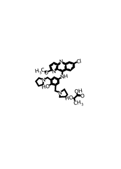 CC(O)C(=O)O.COc1ccc2nc3cc(Cl)ccc3c(Nc3cc(CN4CCCC4)c(O)c(CN4CCCC4)c3)c2n1